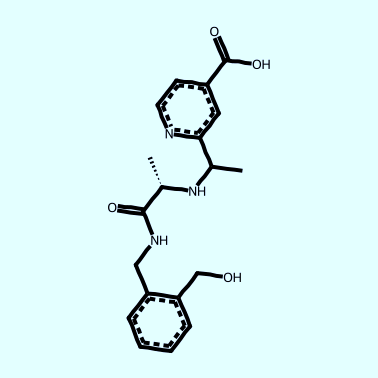 CC(N[C@@H](C)C(=O)NCc1ccccc1CO)c1cc(C(=O)O)ccn1